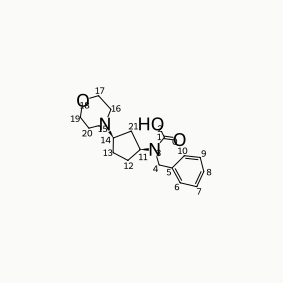 O=C(O)N(Cc1ccccc1)[C@H]1CC[C@@H](N2CCOCC2)C1